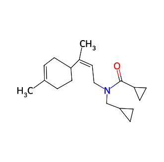 CC1=CCC(/C(C)=C\CN(CC2CC2)C(=O)C2CC2)CC1